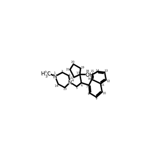 CN1CCN(CC(c2cccc3ccccc23)C2(O)CCCC2)CC1